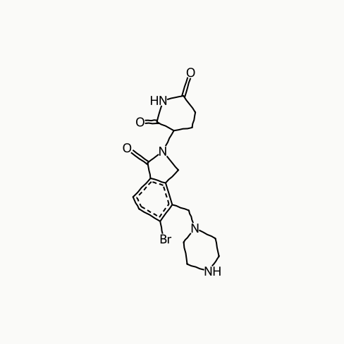 O=C1CCC(N2Cc3c(ccc(Br)c3CN3CCNCC3)C2=O)C(=O)N1